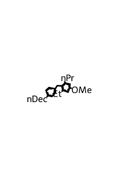 CCCCCCCCCCc1ccc(Cc2c(CC)cc(OC)cc2CCC)cc1